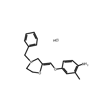 Cc1cc(OC=C2CN(Cc3ccccc3)CCO2)ccc1N.Cl